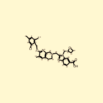 Cc1cc(F)c(COc2nc3c(cc2C)CCN(Cc2nc4ccc(C(=O)O)cc4n2C[C@@H]2CCO2)C3)c(Cl)c1